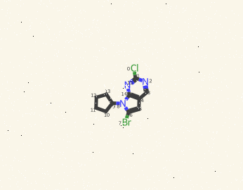 Clc1ncc2cc(Br)n(C3CCCC3)c2n1